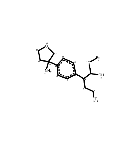 CCOC(O)C(CCC(F)(F)F)c1ccc(C2(N)CCOC2)cc1